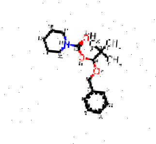 CC(C)(C)C(OCc1ccccc1)OC(=O)N1CCCCC1